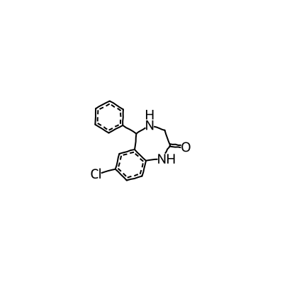 O=C1CNC(c2ccccc2)c2cc(Cl)ccc2N1